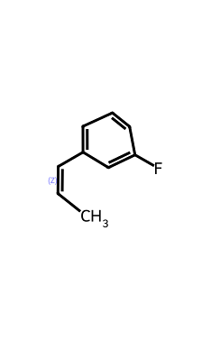 C/C=C\c1cccc(F)c1